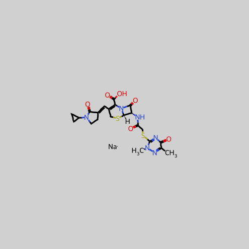 Cc1nn(C)c(SCC(=O)N[C@@H]2C(=O)N3C(C(=O)O)=C(C=C4CCN(C5CC5)C4=O)CS[C@H]23)nc1=O.[Na]